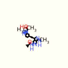 CNc1ncc(C#Cc2ccc3nnn(CC(C)(C)O)c3c2)c2cc(NC(=O)C3CC3)ncc12